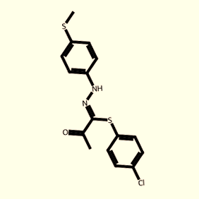 CSc1ccc(NN=C(Sc2ccc(Cl)cc2)C(C)=O)cc1